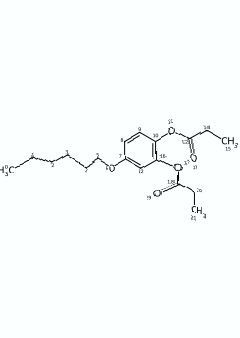 CCCCCCOc1ccc(OC(=O)CC)c(OC(=O)CC)c1